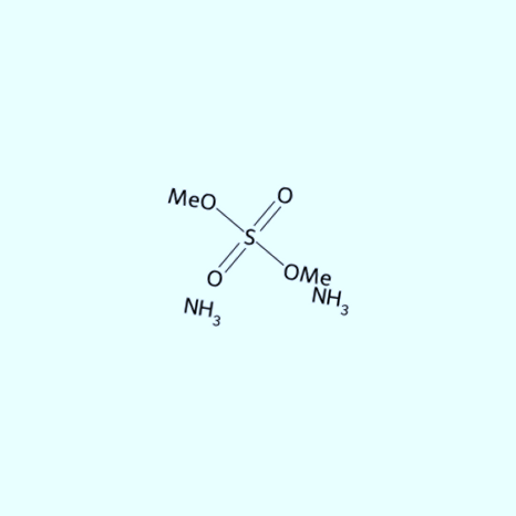 COS(=O)(=O)OC.N.N